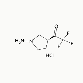 Cl.NN1CC[C@H](C(=O)C(F)(F)F)C1